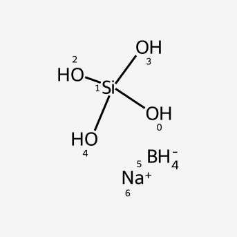 O[Si](O)(O)O.[BH4-].[Na+]